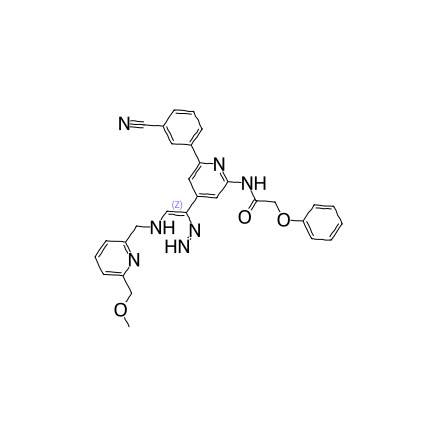 COCc1cccc(CN/C=C(\N=N)c2cc(NC(=O)COc3ccccc3)nc(-c3cccc(C#N)c3)c2)n1